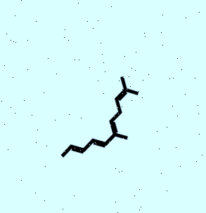 CC=CC=CC(C)=CCC=C(C)C